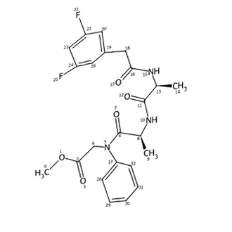 COC(=O)CN(C(=O)[C@H](C)NC(=O)[C@H](C)NC(=O)Cc1cc(F)cc(F)c1)c1ccccc1